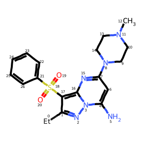 CCc1nn2c(N)cc(N3CCN(C)CC3)nc2c1S(=O)(=O)c1ccccc1